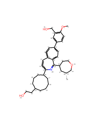 COc1ccc(C2=CC=C3C(=C=C2)C=C=C(C2CCCCC(CCO)CCC2)N=C3C2CCOC[C@H](C)C2)cc1CO